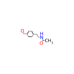 CC(=O)NCCc1ccc(C=O)cc1